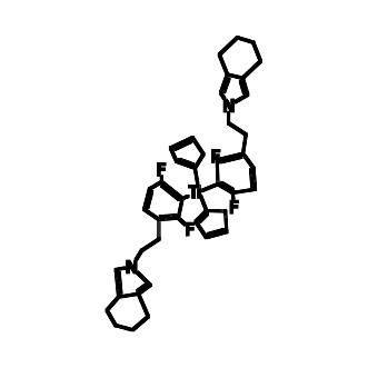 Fc1ccc(CCn2cc3c(c2)CCCC3)c(F)[c]1[Ti]([C]1=CC=CC1)([C]1=CC=CC1)[c]1c(F)ccc(CCn2cc3c(c2)CCCC3)c1F